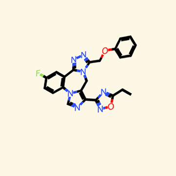 CCc1nc(-c2ncn3c2Cn2c(COc4ccccc4)nnc2-c2cc(F)ccc2-3)no1